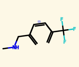 C=C(/C=C\C(=C)C(F)(F)F)CNC